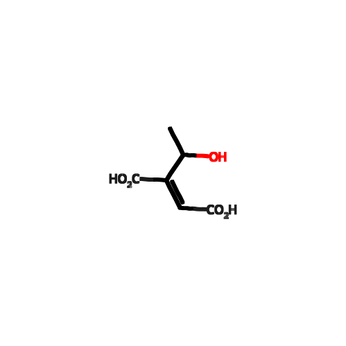 CC(O)C(=CC(=O)O)C(=O)O